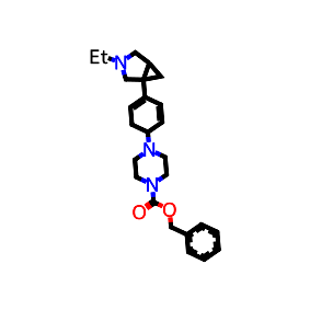 CCN1CC2CC2(C2=CCC(N3CCN(C(=O)OCc4ccccc4)CC3)C=C2)C1